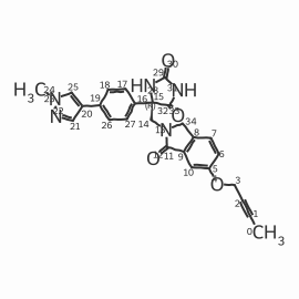 CC#CCOc1ccc2c(c1)C(=O)N(C[C@@]1(c3ccc(-c4cnn(C)c4)cc3)NC(=O)NC1=O)C2